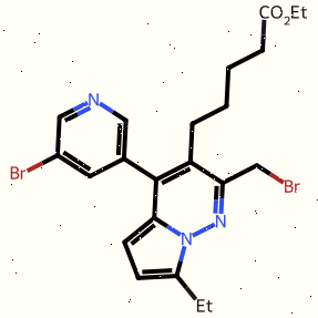 CCOC(=O)CCCCc1c(CBr)nn2c(CC)ccc2c1-c1cncc(Br)c1